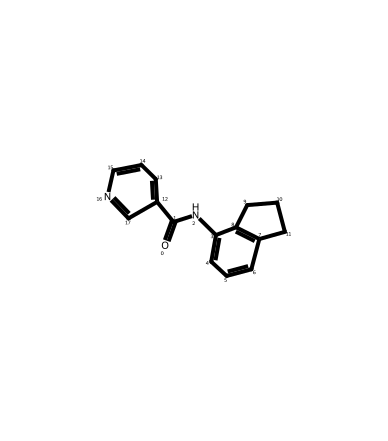 O=C(Nc1cccc2c1CCC2)c1cccnc1